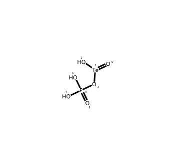 O=[Te](O)OP(=O)(O)O